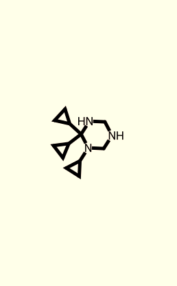 C1NCN(C2CC2)C(C2CC2)(C2CC2)N1